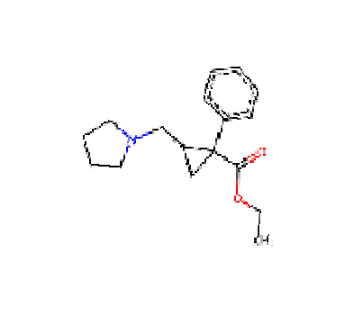 CCOC(=O)C1(c2ccccc2)CC1CN1CCCC1